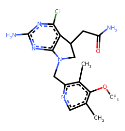 Cc1cnc(CN2CC(CC(N)=O)c3c(Cl)nc(N)nc32)c(C)c1OC(F)(F)F